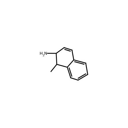 CC1c2ccccc2C=CC1N